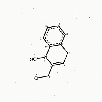 ON1C(CCl)=CCc2ccccc21